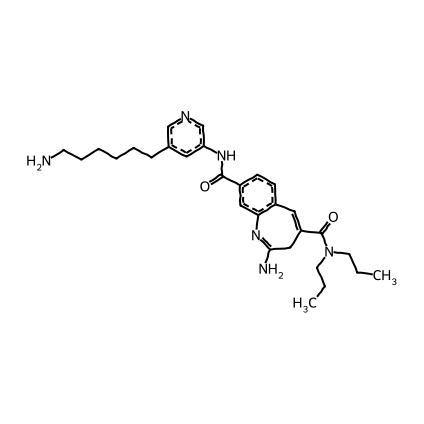 CCCN(CCC)C(=O)C1=Cc2ccc(C(=O)Nc3cncc(CCCCCCN)c3)cc2N=C(N)C1